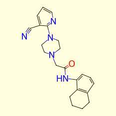 N#Cc1cccnc1N1CCN(CC(=O)Nc2cccc3c2CCCC3)CC1